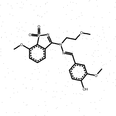 COCCN(/N=C/c1ccc(O)c(OC)c1)C1=NS(=O)(=O)c2c(OC)cccc21